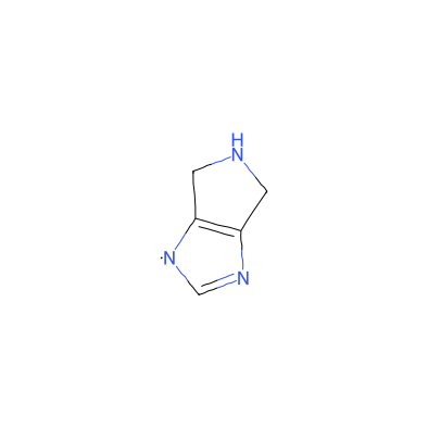 C1=NC2=C(CNC2)[N]1